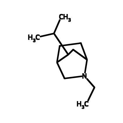 CCN1CC2CCC1CC2C(C)C